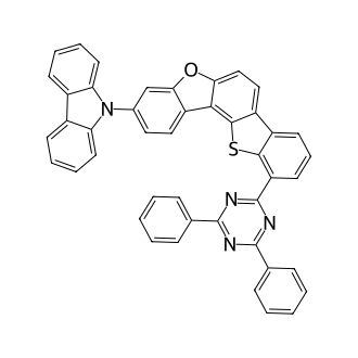 c1ccc(-c2nc(-c3ccccc3)nc(-c3cccc4c3sc3c4ccc4oc5cc(-n6c7ccccc7c7ccccc76)ccc5c43)n2)cc1